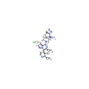 Cc1nccc(-c2c(C)nc(N3CCC4(CC3)Cc3scnc3[C@H]4N)c3ccnn23)c1Cl.Cl